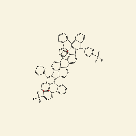 FC(F)(F)c1ccc(-c2ccccc2-c2c3c(c(-c4ccccc4)c4ccccc24)-c2ccc4c5ccc6c7c(ccc(c8ccc-3c2c48)c75)-c2c-6c(-c3ccccc3-c3ccccc3)c3ccccc3c2-c2ccc(C(F)(F)F)cc2)cc1